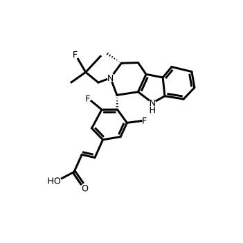 C[C@@H]1Cc2c([nH]c3ccccc23)[C@H](c2c(F)cc(C=CC(=O)O)cc2F)N1CC(C)(C)F